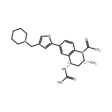 CC(=O)N1c2ccc(-c3cc(CN4CCCCC4)co3)cc2[C@@H](NC(=O)O)C[C@H]1C